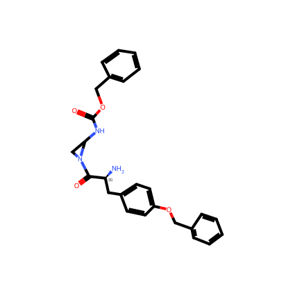 N[C@@H](Cc1ccc(OCc2ccccc2)cc1)C(=O)N1CC1NC(=O)OCc1ccccc1